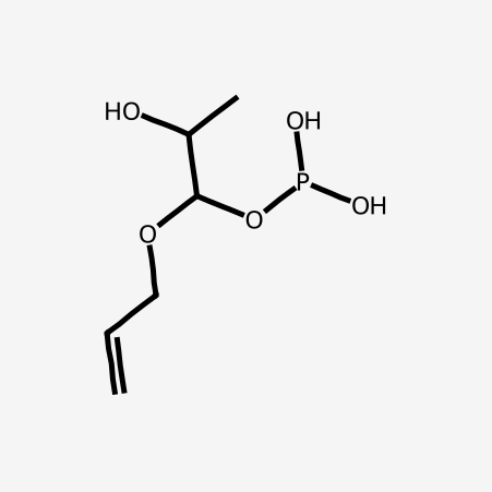 C=CCOC(OP(O)O)C(C)O